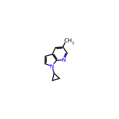 Cc1cnc2c(ccn2C2CC2)c1